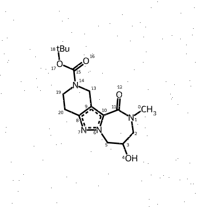 CN1CC(O)Cn2nc3c(c2C1=O)CN(C(=O)OC(C)(C)C)CC3